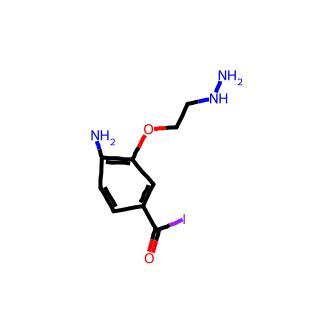 NNCCOc1cc(C(=O)I)ccc1N